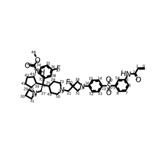 C=CC(=O)Nc1cccc(S(=O)(=O)c2ccc(N3CC(F)(CN4CCC([C@@](CN5CCC5)(c5cccc(F)c5)[C@H]5CCC[C@@H]5NC(=O)OC)CC4)C3)cc2)c1